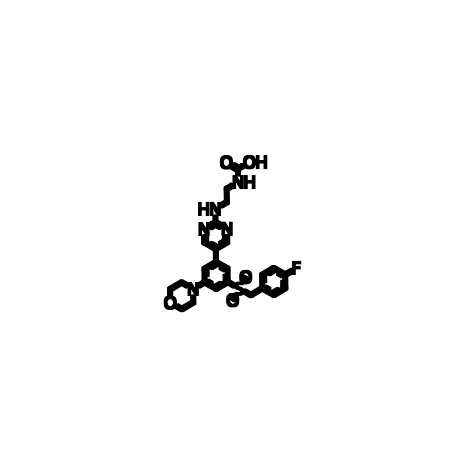 O=C(O)NCCNc1ncc(-c2cc(N3CCOCC3)cc(S(=O)(=O)Cc3ccc(F)cc3)c2)cn1